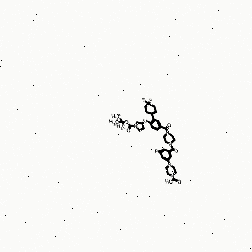 CC(C)(C)OC(=O)N1CCC(Oc2ccc(C(=O)N3CCN(C(=O)c4cc(F)cc(N5CCN(C(=O)O)CC5)c4)CC3)cc2C2CCC(F)(F)CC2)C1